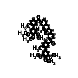 COc1cc(-c2cc(C(=O)N3CCC(CC(CC4CCN(C(=O)c5ccc(C)c(-c6cc(OC)c(OC)c(OC)c6)c5)CC4)N(C)C)CC3)ccc2C)cc(OC)c1OC